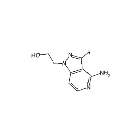 Nc1nccc2c1c(I)nn2CCO